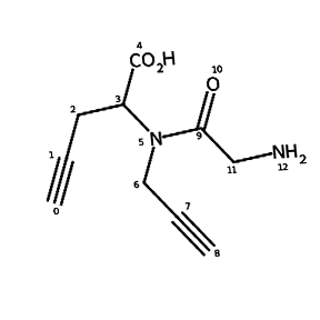 C#CCC(C(=O)O)N(CC#C)C(=O)CN